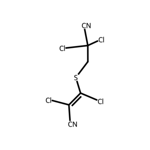 N#CC(Cl)=C(Cl)SCC(Cl)(Cl)C#N